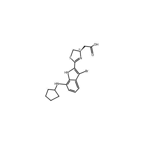 O=C(O)C[C@@H]1CSC(c2[nH]c3c(NC4CCCC4)cccc3c2Br)=N1